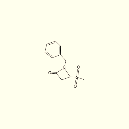 CS(=O)(=O)C1CC(=O)N1Cc1ccccc1